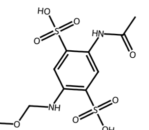 COCNc1cc(S(=O)(=O)O)c(NC(C)=O)cc1S(=O)(=O)O